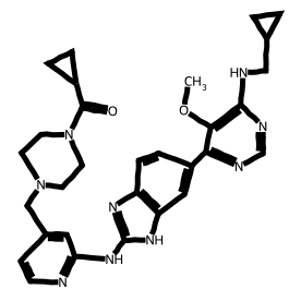 COc1c(NCC2CC2)ncnc1-c1ccc2nc(Nc3cc(CN4CCN(C(=O)C5CC5)CC4)ccn3)[nH]c2c1